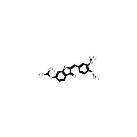 COc1ccc(C=C2Oc3cc(OC(C)C)ccc3C2=O)cc1OC